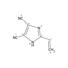 C=Cc1nc(C#N)c(C#N)[nH]1